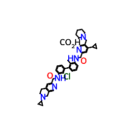 Cc1c(NC(=O)c2cc(C3CC3)c(CN3CCCCC3C(=O)O)cn2)cccc1-c1cccc(NC(=O)c2cc3c(cn2)CN(C2CC2)CC3)c1Cl